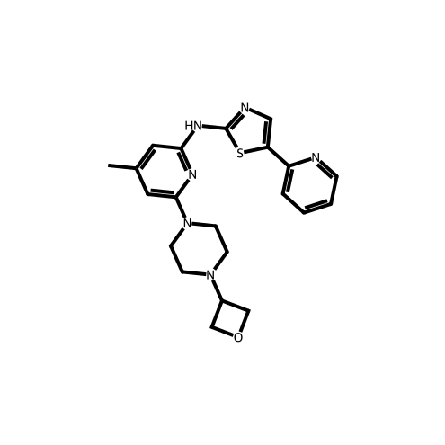 Cc1cc(Nc2ncc(-c3ccccn3)s2)nc(N2CCN(C3COC3)CC2)c1